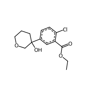 CCOC(=O)c1cc(C2(O)CCCOC2)ccc1Cl